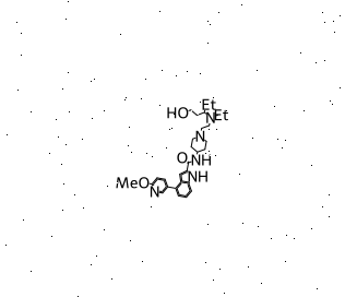 CCC(CCO)N(CC)CCN1CCC(NC(=O)c2cc3c(-c4ccc(OC)nc4)cccc3[nH]2)CC1